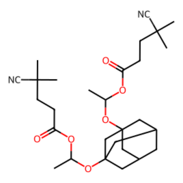 CC(OC(=O)CCC(C)(C)C#N)OC12CC3CC(C1)CC(OC(C)OC(=O)CCC(C)(C)C#N)(C3)C2